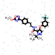 COc1nc(-c2ccc(CCNC(=O)c3c(Oc4cccc(C(F)(F)F)c4)cnn3C(C)(C)C)cc2)no1